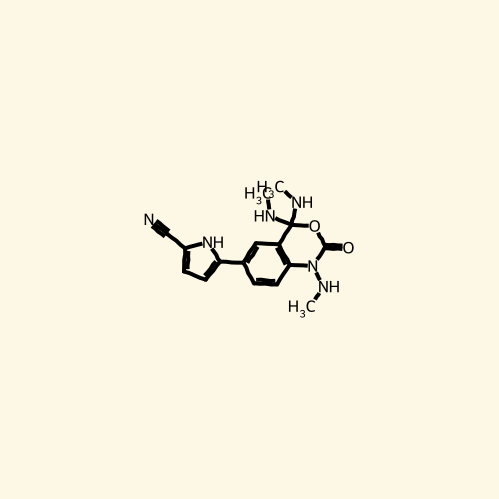 CNN1C(=O)OC(NC)(NC)c2cc(-c3ccc(C#N)[nH]3)ccc21